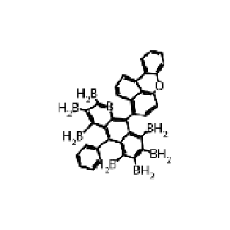 Bc1bc2c(-c3ccc4c5c(cccc35)-c3ccccc3O4)c3c(B)c(B)c(B)c(B)c3c(-c3ccccc3)c2c(B)c1B